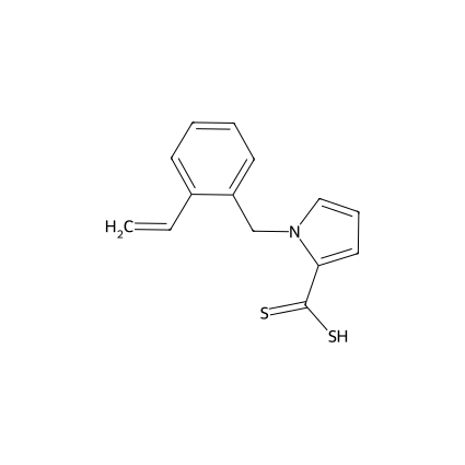 C=Cc1ccccc1Cn1cccc1C(=S)S